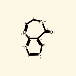 O=C1NCC=Nc2ncncc21